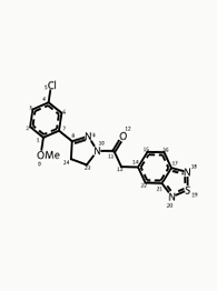 COc1ccc(Cl)cc1C1=NN(C(=O)Cc2ccc3nsnc3c2)CC1